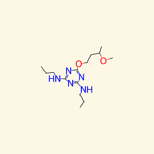 CCCNc1nc(NCCC)nc(OCCC(C)OC)n1